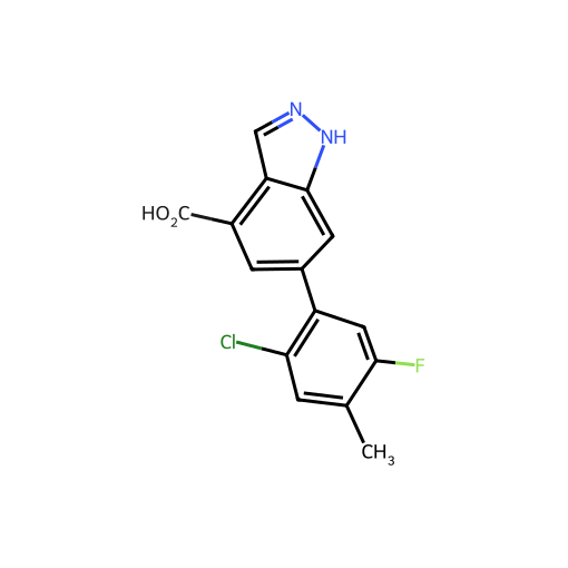 Cc1cc(Cl)c(-c2cc(C(=O)O)c3cn[nH]c3c2)cc1F